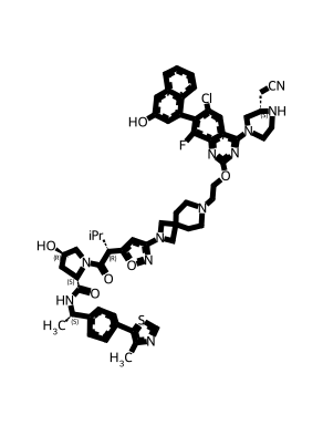 Cc1ncsc1-c1ccc([C@H](C)NC(=O)[C@@H]2C[C@@H](O)CN2C(=O)[C@@H](c2cc(N3CC4(CCN(CCOc5nc(N6CCN[C@@H](CC#N)C6)c6cc(Cl)c(-c7cc(O)cc8ccccc78)c(F)c6n5)CC4)C3)no2)C(C)C)cc1